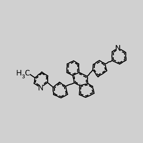 Cc1ccc(-c2cccc(-c3c4ccccc4c(-c4ccc(-c5cccnc5)cc4)c4ccccc34)c2)nc1